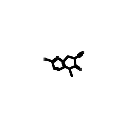 CN1C(=O)C(C#N)Cc2nc(Br)ccc21